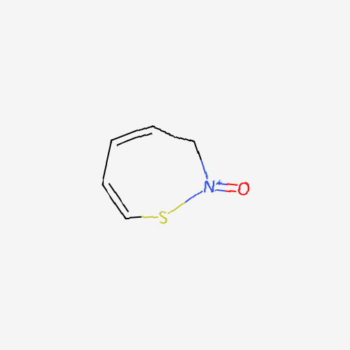 O=[N+]1CC=CC=CS1